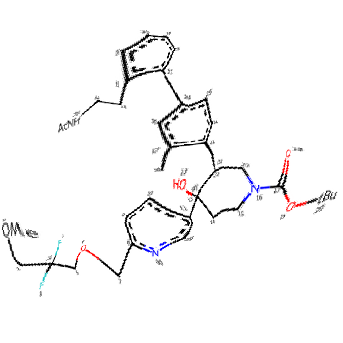 COCC(F)(F)COCc1ccc([C@@]2(O)CCN(C(=O)OC(C)(C)C)C[C@@H]2c2ccc(-c3ccccc3CCNC(C)=O)cc2C)cn1